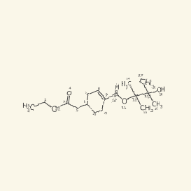 CCOC(=O)CC1CC=C(BOC(C)(C)C(C)(C)O)CC1